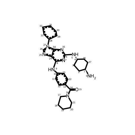 N[C@H]1CC[C@H](Nc2nc(Nc3ccc(C(=O)N4CCCCC4)cc3)c3ncn(-c4ccccc4)c3n2)CC1